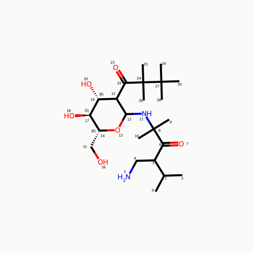 CC(C)C(CN)C(=O)C(C)(C)NC1O[C@H](CO)[C@@H](O)[C@H](O)C1C(=O)C(C)(C)C(C)(C)C